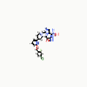 N=C(NO)c1cnc(CN2CCC(c3cccc(OCc4ccc(Cl)cc4F)n3)CC2)n1CC1CCO1